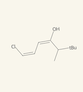 CC(/C(O)=C\C=C/Cl)C(C)(C)C